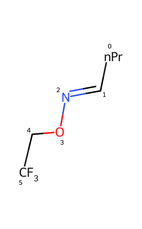 CCCC=NOCC(F)(F)F